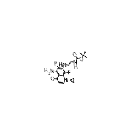 CC(C)(C)OC(=O)NCCNc1c(F)c(N)c2c(=O)ccn(C3CC3)c2c1F